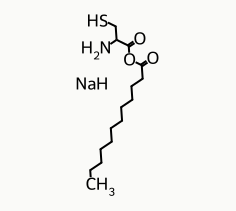 CCCCCCCCCCCC(=O)OC(=O)C(N)CS.[NaH]